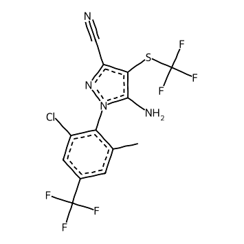 Cc1cc(C(F)(F)F)cc(Cl)c1-n1nc(C#N)c(SC(F)(F)F)c1N